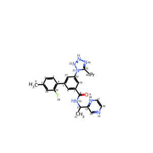 Cc1ccc(-c2cc(C(=O)NC(C)c3cnccn3)cc(-n3nnnc3C(C)C)c2)c(F)c1